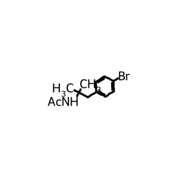 CC(=O)NC(C)(C)Cc1ccc(Br)cc1